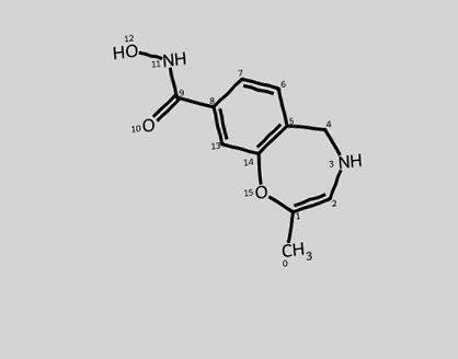 CC1=CNCc2ccc(C(=O)NO)cc2O1